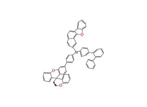 c1ccc(-c2ccccc2-c2ccc(N(c3ccc(-c4ccc5c(c4)Oc4ccccc4C54c5ccccc5Oc5ccccc54)cc3)c3ccc4ccc5c6ccccc6oc5c4c3)cc2)cc1